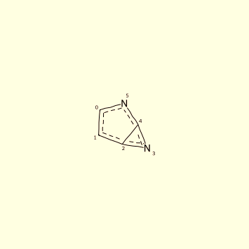 c1cc2nc-2n1